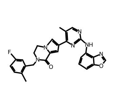 Cc1ccc(F)cc1CN1CCn2cc(-c3nc(Nc4cccc5ocnc45)ncc3C)cc2C1=O